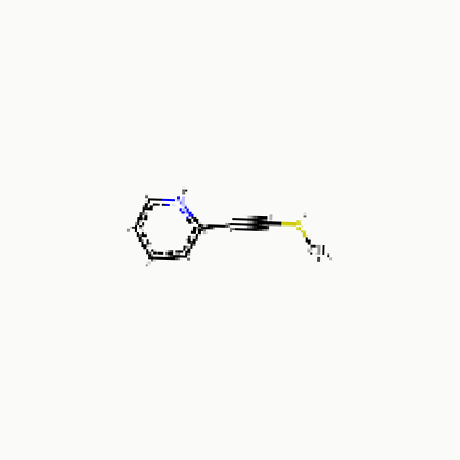 CSC#Cc1ccccn1